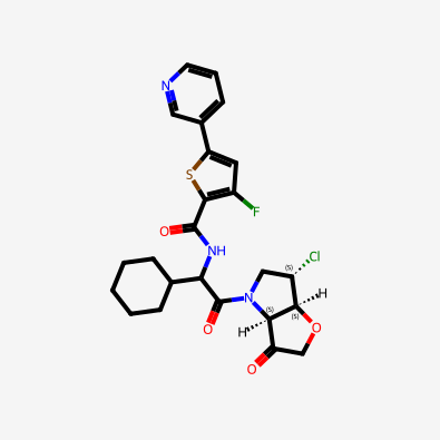 O=C(NC(C(=O)N1C[C@H](Cl)[C@H]2OCC(=O)[C@H]21)C1CCCCC1)c1sc(-c2cccnc2)cc1F